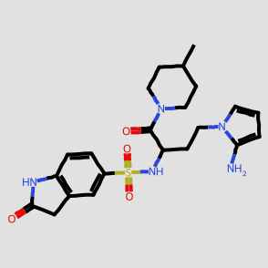 CC1CCN(C(=O)C(CCn2cccc2N)NS(=O)(=O)c2ccc3c(c2)CC(=O)N3)CC1